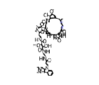 CNN(C)Cc1cc2ccccc2n1CCC(=O)NCCNC(=O)[C@H](O)[C@H](O)C(=O)NCCC(=O)N(C)[C@@H](C)C(=O)O[C@H]1CC(=O)N(C)c2cc(cc(OC)c2Cl)C/C(C)=C/C=C/[C@@H](OC)[C@@]2(O)C[C@H](OC(=O)N2)[C@@H](C)[C@@H]2C[C@]12C